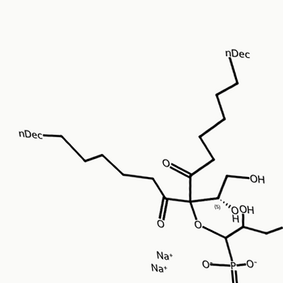 CCCCCCCCCCCCCCCC(=O)C(OC(C(O)CO)P(=O)([O-])[O-])(C(=O)CCCCCCCCCCCCCCC)[C@@H](O)CO.[Na+].[Na+]